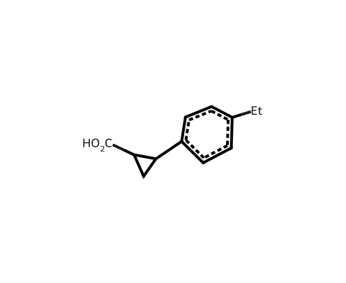 CCc1ccc(C2CC2C(=O)O)cc1